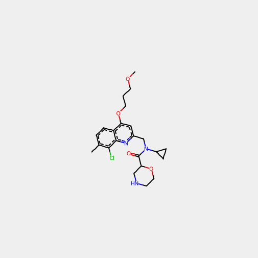 COCCCOc1cc(CN(C(=O)C2CNCCO2)C2CC2)nc2c(Cl)c(C)ccc12